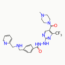 CN1CCN(C(=O)c2cnc(NNC(=O)c3ccc(CNCc4ccccn4)cc3)nc2C(F)(F)F)CC1